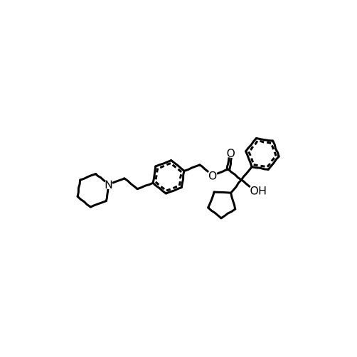 O=C(OCc1ccc(CCN2CCCCC2)cc1)C(O)(c1ccccc1)C1CCCC1